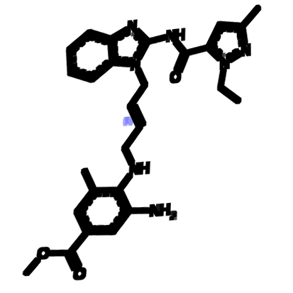 CCn1nc(C)cc1C(=O)Nc1nc2ccccc2n1C/C=C/CNc1c(C)cc(C(=O)OC)cc1N